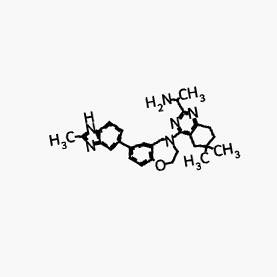 Cc1nc2cc(-c3ccc4c(c3)CN(c3nc(C(C)N)nc5c3CC(C)(C)CC5)CCO4)ccc2[nH]1